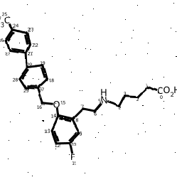 O=C(O)CCCCNCCc1cc(F)ccc1OCc1ccc(-c2ccc(C(F)(F)F)cc2)cc1